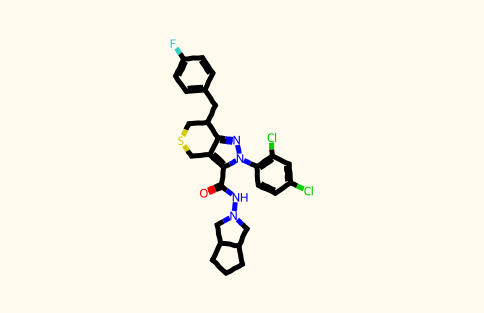 O=C(NN1CC2CCCC2C1)c1c2c(nn1-c1ccc(Cl)cc1Cl)C(Cc1ccc(F)cc1)CSC2